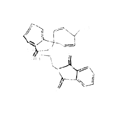 N=C(N)NC1(c2ccccc2SCCN2C(=O)c3ccccc3C2=O)C=CC(C(=O)O)C=C1